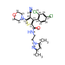 Cc1cc(C)n(CCNC(=O)c2sc(N3CCOCC3)c(C#N)c2-c2ccc(Cl)cc2Cl)n1